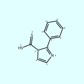 S=C(S)n1ccnc1-c1ccccc1